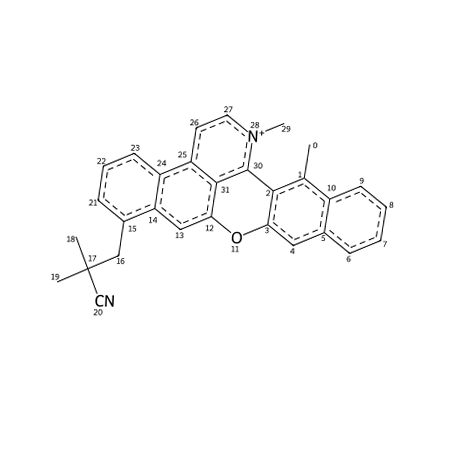 Cc1c2c(cc3ccccc13)Oc1cc3c(CC(C)(C)C#N)cccc3c3cc[n+](C)c-2c13